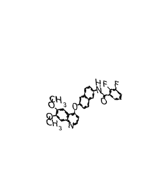 COc1cc2nccc(Oc3ccc4cc(NC(=O)c5cccc(F)c5F)ccc4c3)c2cc1OC